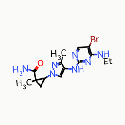 CCNc1nc(Nc2cn(C3CC3(C)C(N)=O)nc2C)ncc1Br